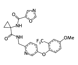 COc1ccc(Oc2ccc(CNC(=O)C3(NC(=O)c4cnco4)CC3)nc2)c(C(F)(F)F)c1